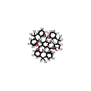 COC(=O)c1c(N2c3ccccc3C(C)(C)c3ccccc32)c(C(=O)OC)c(N2c3ccccc3C(C)(C)c3ccccc32)c(C(=O)OC)c1N1c2ccccc2C(C)(C)c2ccccc21